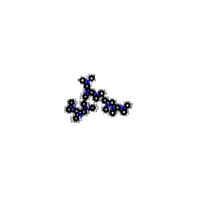 c1ccc(-n2c3ccccc3c3cc4c(cc32)c2cc3c(c5cccc6c7c(-c8ccc9c(c8)c8ccc%10c%11cc%12c(c%13cccc%14c%15ccccc%15n%12c%14%13)c%12c%13ccccc%13n(c%11%12)c%10c8n9-c8ccccc8)cccc7n3c65)c3c5cc(-c6ccc7c8c9c%10cc%11c(c%12cccc%13c%14ccccc%14n%11c%13%12)c%11c%12ccccc%12n(c9ccc8n(-c8ccccc8)c7c6)c%10%11)ccc5n4c23)cc1